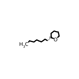 CCCCCCC[C@@H]1CCCCO1